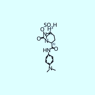 CN(C)c1ccc(NC(=O)[C@@H]2CC[C@@H]3CN2C(=O)N3OS(=O)(=O)O)cc1